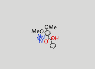 COc1ccc(C(=O)C(O)c2ccccc2)c(-n2cnnn2)c1OC